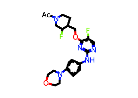 CC(=O)N1CCC(COc2nc(Nc3ccc(N4CCOCC4)cc3)ncc2F)C(F)C1